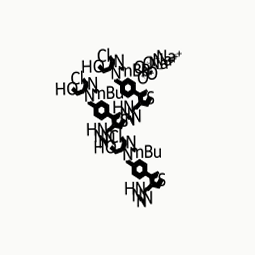 CCCCc1nc(Cl)c(CO)n1Cc1ccc(-c2cscc2-c2nnn[nH]2)cc1.CCCCc1nc(Cl)c(CO)n1Cc1ccc(-c2cscc2-c2nnn[nH]2)cc1.CCCCc1nc(Cl)c(CO)n1Cc1ccc(-c2cscc2-c2nnn[nH]2)cc1.O=P([O-])([O-])[O-].[Na+].[Na+].[Na+]